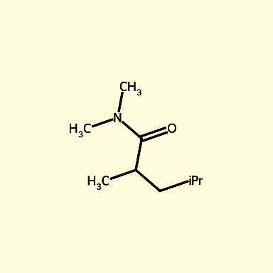 CC(C)CC(C)C(=O)N(C)C